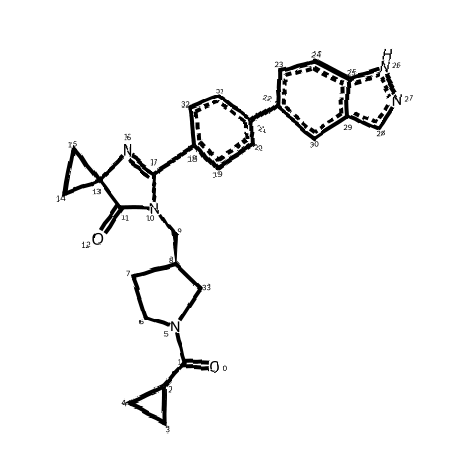 O=C(C1CC1)N1CC[C@@H](CN2C(=O)C3(CC3)N=C2c2ccc(-c3ccc4[nH]ncc4c3)cc2)C1